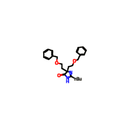 CCCCC1=NC(CCOCc2ccccc2)(CCOCc2ccccc2)C(=O)N1